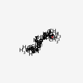 C/C=C(/C)CC(C[C@H](C)O)C(NC(=O)OC)C(=O)N1CCCN1c1ncc(-c2ccc3c(c2)cc2n3C(c3cnc(C4CC4)s3)Oc3cc(-c4cnc([C@@H]5CCCN5C(=O)C(NC(=O)OC)C(C)C)[nH]4)cc(F)c3-2)[nH]1